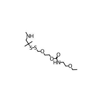 CCOCCNC(=O)OCCOCSSC(C)(C)CNC